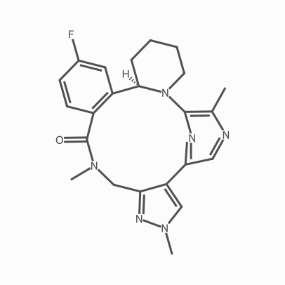 Cc1ncc2nc1N1CCCC[C@@H]1c1cc(F)ccc1C(=O)N(C)Cc1nn(C)cc1-2